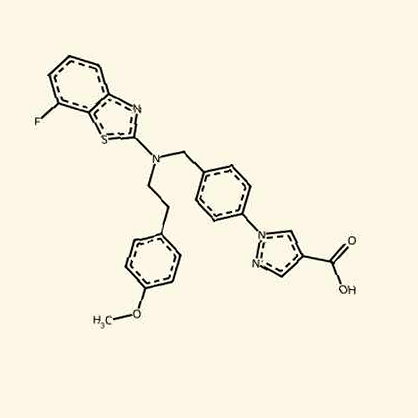 COc1ccc(CCN(Cc2ccc(-n3cc(C(=O)O)cn3)cc2)c2nc3cccc(F)c3s2)cc1